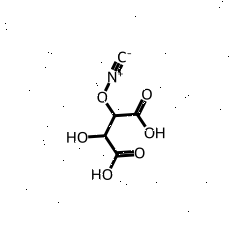 [C-]#[N+]OC(C(=O)O)C(O)C(=O)O